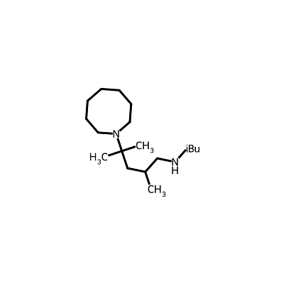 CCC(C)NCC(C)CC(C)(C)N1CCCCCCC1